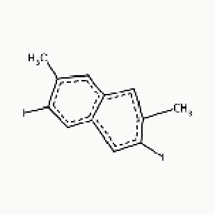 Cc1cc2cc(C)c(I)cc2cc1I